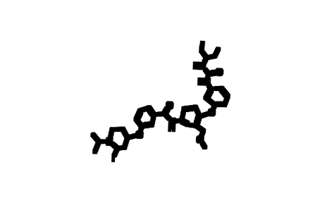 CCC(CC)NC(=O)Nc1cccc(Oc2ccc(NC(=O)c3cccc(OC4CCN(C(C)C)C(I)C4)c3)cc2COC)c1